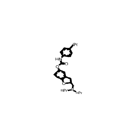 CCCN(CCC)CC1Cc2cc(OC(=O)Nc3ccc(C(C)C)cc3)ccc2O1